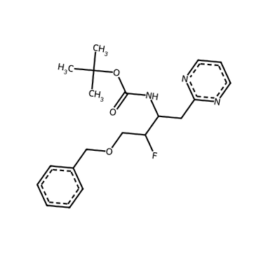 CC(C)(C)OC(=O)NC(Cc1ncccn1)C(F)COCc1ccccc1